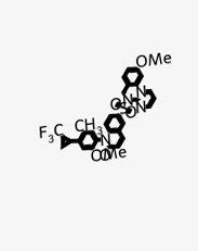 COc1ccc(CN(c2ncccn2)S(=O)(=O)c2ccc3c(ccc(=O)n3-c3cc(C)c(C4CC4C(F)(F)F)cc3OC)c2)cc1